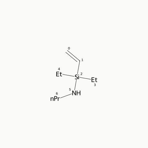 C=C[Si](CC)(CC)NCCC